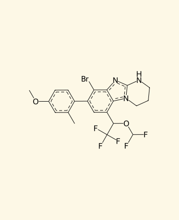 COc1ccc(-c2cc(C(OC(F)F)C(F)(F)F)c3c(nc4n3CCCN4)c2Br)c(C)c1